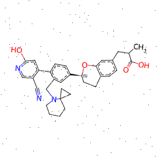 CC(Cc1ccc2c(c1)O[C@H](c1ccc(-c3cc(O)ncc3C#N)c(CN3CCCCC34CC4)c1)CC2)C(=O)O